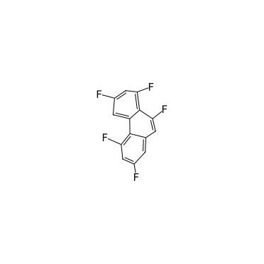 Fc1cc(F)c2c(c1)cc(F)c1c(F)cc(F)cc12